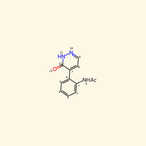 CC(=O)Nc1ccccc1-c1ccn[nH]c1=O